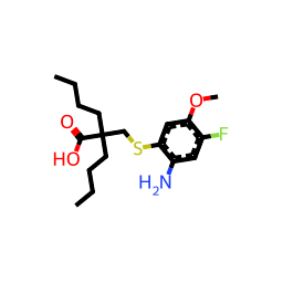 CCCCC(CCCC)(CSc1cc(OC)c(F)cc1N)C(=O)O